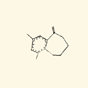 Cc1cc(C)c2c(c1)C(=O)CCCC2